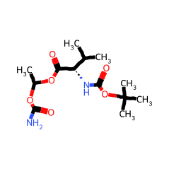 CC(OC(N)=O)OC(=O)[C@@H](NC(=O)OC(C)(C)C)C(C)C